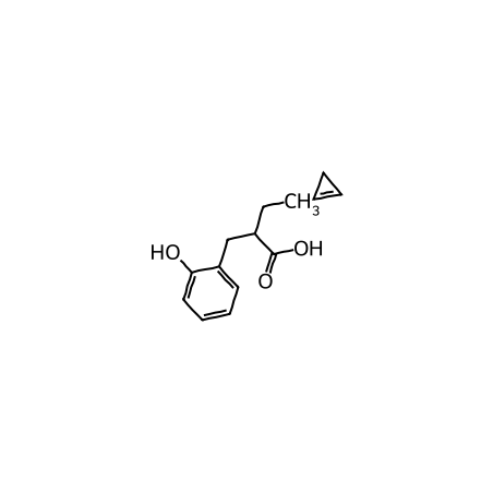 C1=CC1.CCC(Cc1ccccc1O)C(=O)O